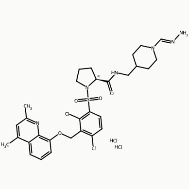 Cc1cc(C)c2cccc(OCc3c(Cl)ccc(S(=O)(=O)N4CCC[C@H]4C(=O)NCC4CCN(C=NN)CC4)c3Cl)c2n1.Cl.Cl